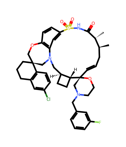 C[C@H]1C/C=C/[C@@]2(CN(Cc3cccc(F)c3)CCO2)[C@@H]2CC[C@H]2CN2C[C@@]3(CCCc4cc(Cl)ccc43)COc3ccc(cc32)S(=O)(=O)NC(=O)[C@@H]1C